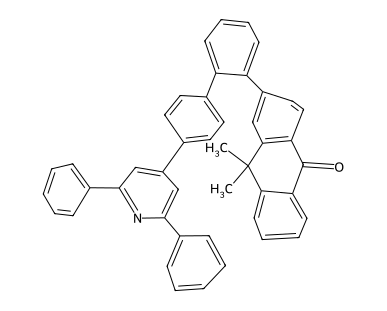 CC1(C)c2ccccc2C(=O)c2ccc(-c3ccccc3-c3ccc(-c4cc(-c5ccccc5)nc(-c5ccccc5)c4)cc3)cc21